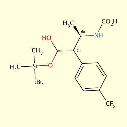 C[C@@H](NC(=O)O)[C@H](c1ccc(C(F)(F)F)cc1)C(O)O[Si](C)(C)C(C)(C)C